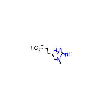 CN(CCCCC(=O)O)C(=N)N